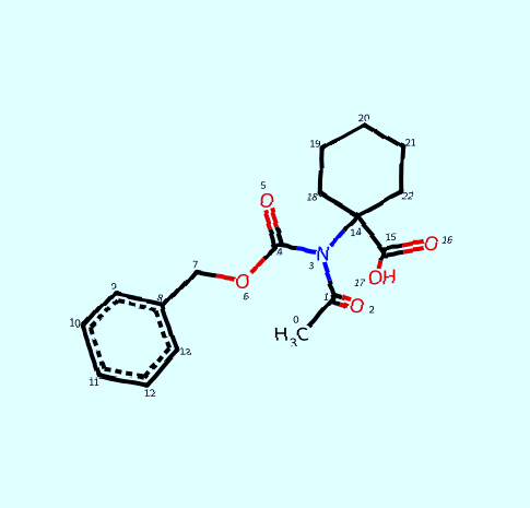 CC(=O)N(C(=O)OCc1ccccc1)C1(C(=O)O)CCCCC1